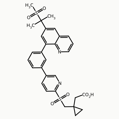 CC(C)(c1cc(-c2cccc(-c3ccc(S(=O)(=O)CC4(CC(=O)O)CC4)nc3)c2)c2ncccc2c1)S(C)(=O)=O